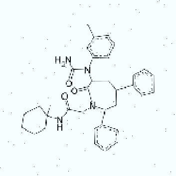 Cc1cccc(N(C(N)=O)C2CC(c3ccccc3)CC(c3ccccc3)N(CC(=O)NC3(C)CCCCC3)C2=O)c1